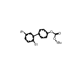 CCc1ccc(C(C)C)cc1-c1ccc(OC(=O)OC(C)(C)C)cc1